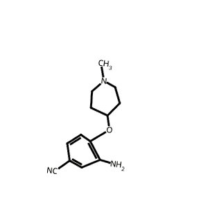 CN1CCC(Oc2ccc(C#N)cc2N)CC1